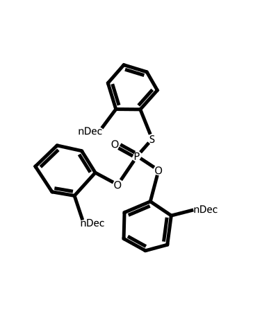 CCCCCCCCCCc1ccccc1OP(=O)(Oc1ccccc1CCCCCCCCCC)Sc1ccccc1CCCCCCCCCC